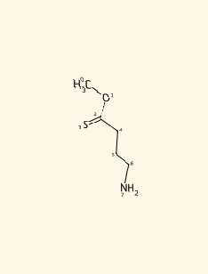 COC(=S)CCCN